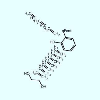 C=C.C=C.C=C.C=C.C=C.C=C.C=C.C=C.C=C.C=C.CCCCCc1ccccc1O.OCCO